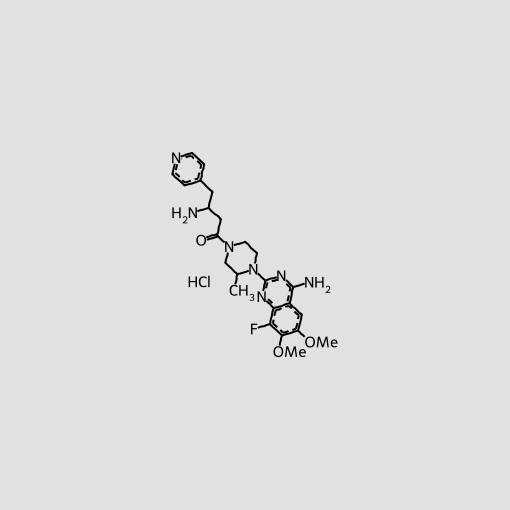 COc1cc2c(N)nc(N3CCN(C(=O)CC(N)Cc4ccncc4)CC3C)nc2c(F)c1OC.Cl